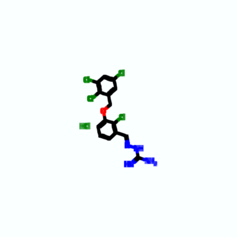 Cl.N=C(N)NN=Cc1cccc(OCc2cc(Cl)cc(Cl)c2Cl)c1Cl